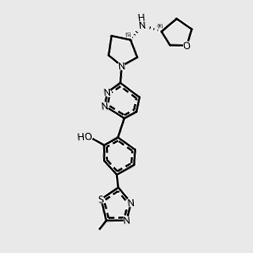 Cc1nnc(-c2ccc(-c3ccc(N4CC[C@H](N[C@@H]5CCOC5)C4)nn3)c(O)c2)s1